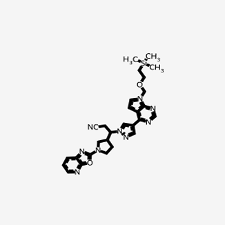 C[Si](C)(C)CCOCn1ccc2c(-c3cnn(C(CC#N)C4CCN(c5nc6cccnc6o5)C4)c3)ncnc21